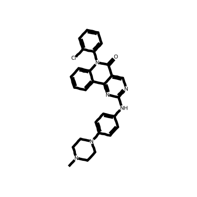 CN1CCN(c2ccc(Nc3ncc4c(=O)n(-c5ccccc5Cl)c5ccccc5c4n3)cc2)CC1